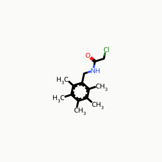 Cc1c(C)c(C)c(CNC(=O)CCl)c(C)c1C